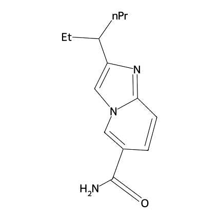 CCCC(CC)c1cn2cc(C(N)=O)ccc2n1